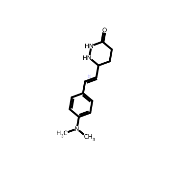 CN(C)c1ccc(/C=C/C2CCC(=O)NN2)cc1